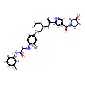 C=C(/C=C(\C=C/C)COc1ccc(NCC(=O)Nc2cccc(C)c2)c(F)c1)c1cc(C(=O)N2CCC(=O)C2)c[nH]1